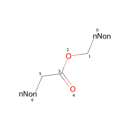 CCCCCCCCCCOC(=O)CCCCCCCCCC